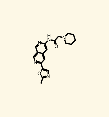 Cc1ncc(-c2cc3cc(NC(=O)CN4CCCCC4)ncc3cn2)o1